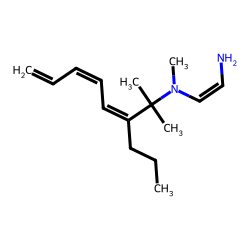 C=C/C=C\C=C(\CCC)C(C)(C)N(C)/C=C\N